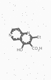 CCc1nc2ccncc2c(O)c1C(=O)O